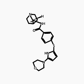 O=C(N[C@H]1CN2CCC1CC2)c1ccc(Sc2ccc(N3CCOCC3)[nH]2)cc1